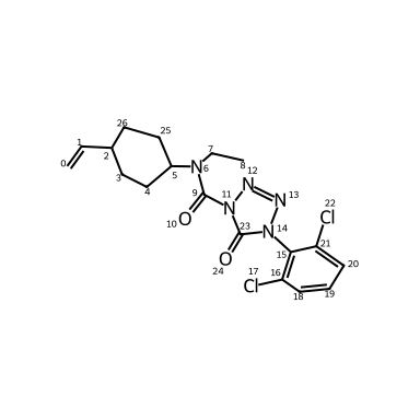 C=CC1CCC(N(CC)C(=O)n2nnn(-c3c(Cl)cccc3Cl)c2=O)CC1